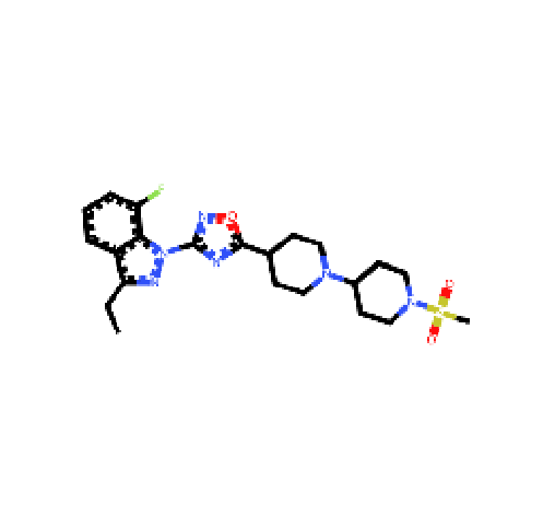 CCc1nn(-c2noc(C3CCN(C4CCN(S(C)(=O)=O)CC4)CC3)n2)c2c(F)cccc12